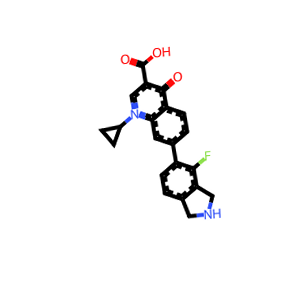 O=C(O)c1cn(C2CC2)c2cc(-c3ccc4c(c3F)CNC4)ccc2c1=O